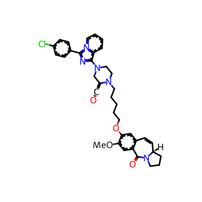 COc1cc2c(cc1OCCCCCN1CCN(c3nc(-c4ccc(Cl)cc4)n4ccccc34)CC1=C=O)C=C[C@@H]1CCCN1C2=O